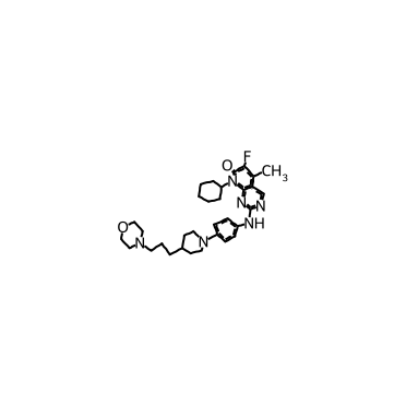 Cc1c(F)c(=O)n(C2CCCCC2)c2nc(Nc3ccc(N4CCC(CCCN5CCOCC5)CC4)cc3)ncc12